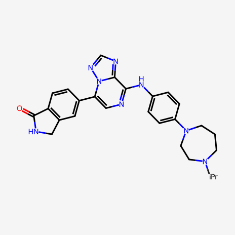 CC(C)N1CCCN(c2ccc(Nc3ncc(-c4ccc5c(c4)CNC5=O)n4ncnc34)cc2)CC1